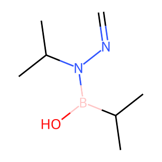 C=NN(B(O)C(C)C)C(C)C